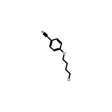 N#Cc1ccc(OCCCCCl)cc1